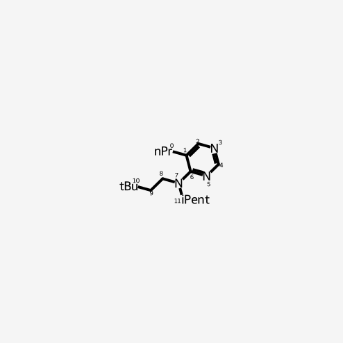 CCCc1cncnc1N(CCC(C)(C)C)C(C)CCC